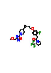 COCc1noc(N2CCC([C@H]3C[C@H]3CCOc3ccc(CC(=O)N4CCC[C@@H]4C(F)(F)F)c(F)c3)CC2)n1